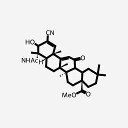 COC(=O)[C@]12CCC(C)(C)CC1C1C(=O)C=C3[C@@]4(C)C=C(C#N)C(O)[C@@](C)(NC(C)=O)[C@@H]4CC[C@@]3(C)[C@]1(C)CC2